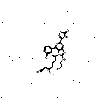 C#CC[C@H](C)CCCC(C)n1c(NCCO)nc2nc(-c3noc(=O)[nH]3)nc(-c3cccc(Cl)c3)c21